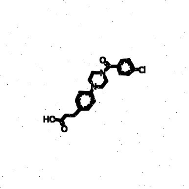 O=C(O)CCc1ccc(N2CCN(C(=O)c3ccc(Cl)cc3)CC2)cc1